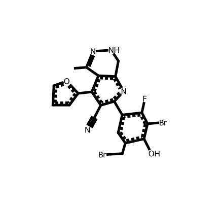 CC1=NNCc2nc(-c3cc(CBr)c(O)c(Br)c3F)c(C#N)c(-c3ccco3)c21